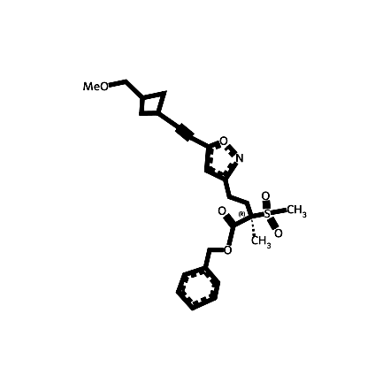 COCC1CC(C#Cc2cc(CC[C@](C)(C(=O)OCc3ccccc3)S(C)(=O)=O)no2)C1